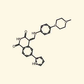 CN1CCN(c2ccc(N/C=C3\C(=O)NC(=O)c4ccc(-c5ccc[nH]5)cc43)cc2)CC1